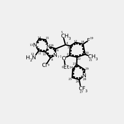 CCOc1c(C(C)c2nc(Cl)c3c(N)nccn23)cc(F)c(C)c1-c1ccc(C(F)(F)F)nc1